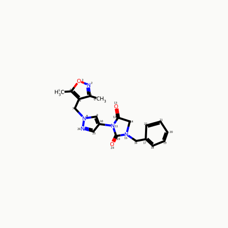 Cc1noc(C)c1Cn1cc(N2C(=O)CN(Cc3ccccc3)C2=O)cn1